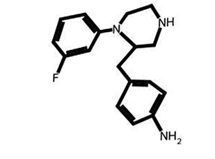 Nc1ccc(CC2CNCCN2c2cccc(F)c2)cc1